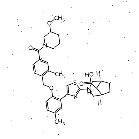 COC1CCCN(C(=O)c2ccc(COc3ccc(C)cc3-c3csc(N4C[C@H]5CC[C@@H](C4)[C@H]5C(=O)O)n3)c(C)c2)C1